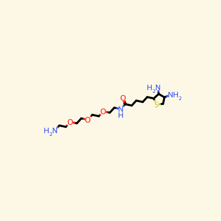 NCCOCCOCCOCCNC(=O)CCCCC1SCC(N)C1N